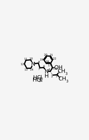 CC(C)C[C@H](NCCCN1CCCCC1)[C@H](O)c1ccccc1.Cl.Cl